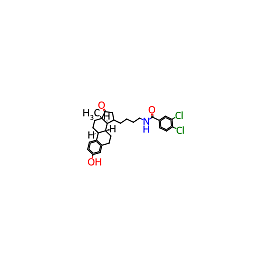 C[C@]12CC[C@@H]3c4ccc(O)cc4CC[C@H]3[C@@H]1C(CCCCNC(=O)c1ccc(Cl)c(Cl)c1)CC2=O